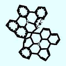 C1=CC2C3=CC=CC4c5cccc6c5C5B(C34)C3C2C(=C1)C=CC3C1(c2ccc3cccc4c3c2N2c3c-4cccc3-c3cccc4ccc1c2c34)C5C=C6